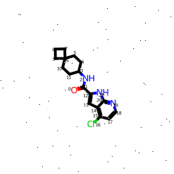 O=C(NC1CCC2(CCC2)CC1)c1cc2c(Cl)ccnc2[nH]1